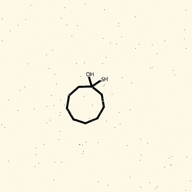 OC1(S)CCCCCCCC1